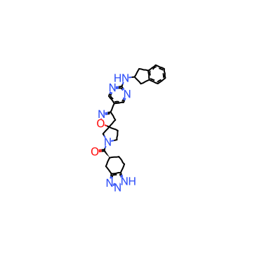 O=C([C@H]1CCc2[nH]nnc2C1)N1CCC2(CC(c3cnc(NC4Cc5ccccc5C4)nc3)=NO2)C1